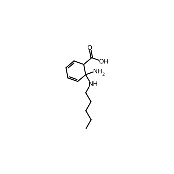 CCCCCNC1(N)C=CC=CC1C(=O)O